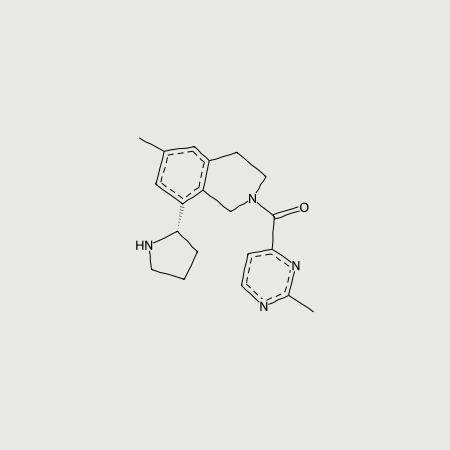 Cc1cc2c(c([C@@H]3CCCN3)c1)CN(C(=O)c1ccnc(C)n1)CC2